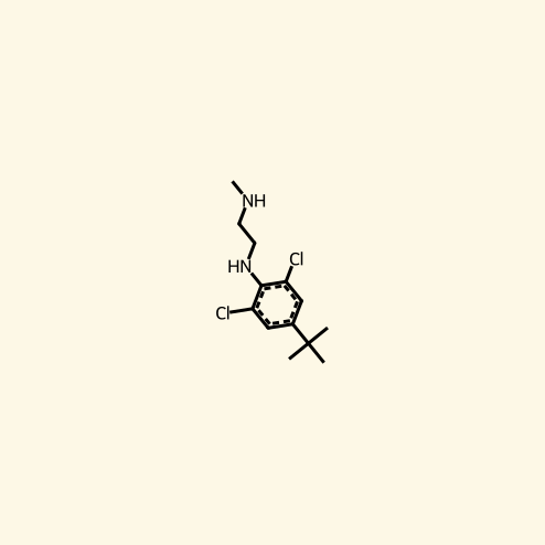 CNCCNc1c(Cl)cc(C(C)(C)C)cc1Cl